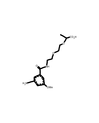 COc1cc(N)cc(C(=O)NCCOCCOC(C)C(=O)O)c1